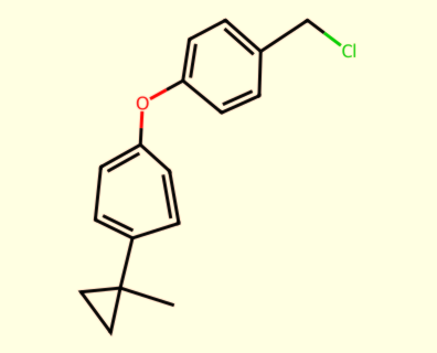 CC1(c2ccc(Oc3ccc(CCl)cc3)cc2)CC1